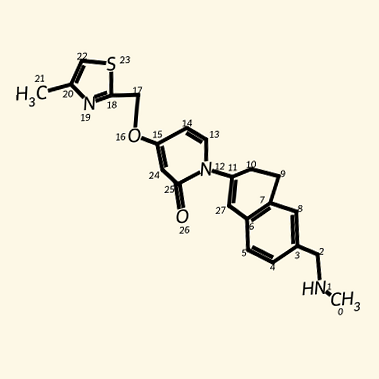 CNCc1ccc2c(c1)CCC(n1ccc(OCc3nc(C)cs3)cc1=O)=C2